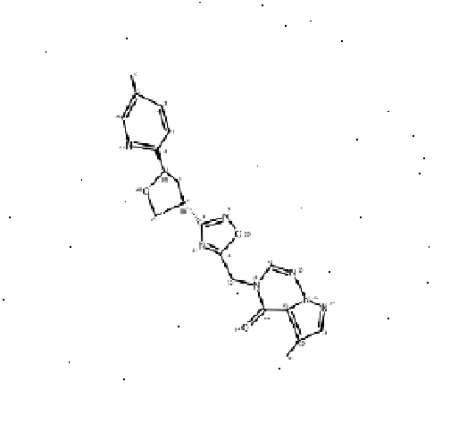 Cc1ccc([C@H]2C[C@H](c3noc(Cn4cnn5ncc(C)c5c4=O)n3)CO2)nc1